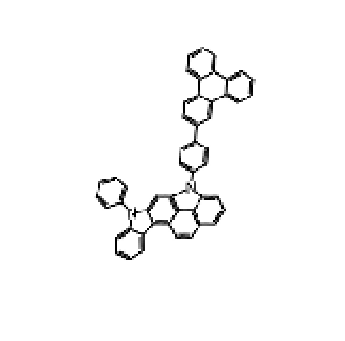 c1ccc(-n2c3ccccc3c3c4ccc5cccc6c5c4c(cc32)n6-c2ccc(-c3ccc4c5ccccc5c5ccccc5c4c3)cc2)cc1